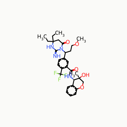 CCC1(CC)CC(=O)N(C(CCOC)c2ccc(C(F)(F)F)c(C(=O)N[C@@H]3c4ccccc4OC[C@@]3(C)O)c2)C(=N)N1